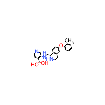 Cc1ccccc1Oc1ccc2c(c1)CCN[C@H]2CNc1cnccc1C(O)O